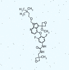 COC1(c2cn(COCC[Si](C)(C)C)c3nccc(Oc4c(F)cc(NC(=O)NCC5(C)COC5)cc4F)c23)COC1